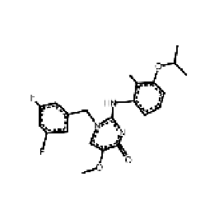 COc1cn(Cc2cc(F)cc(F)c2)c(Nc2cccc(OC(C)C)c2C)nc1=O